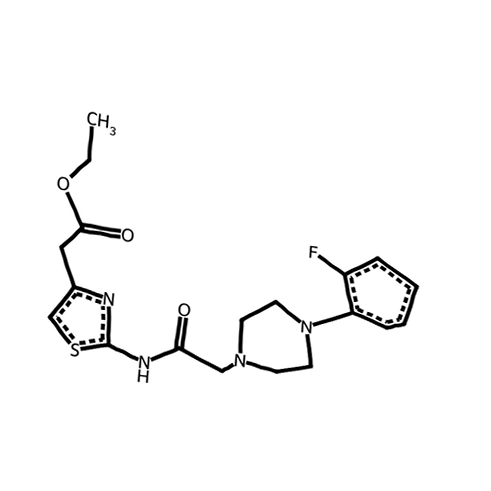 CCOC(=O)Cc1csc(NC(=O)CN2CCN(c3ccccc3F)CC2)n1